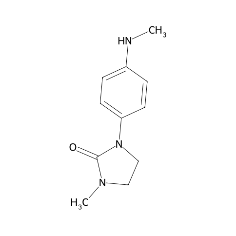 CNc1ccc(N2CCN(C)C2=O)cc1